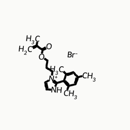 C=C(C)C(=O)OCCC[n+]1cc[nH]c1-c1c(C)cc(C)cc1C.[Br-]